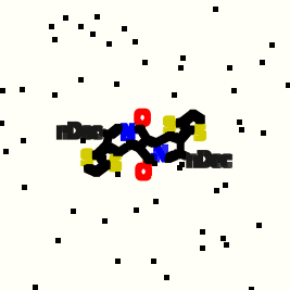 CCCCCCCCCCC1=CN2C(=O)C3=C4c5sc6ccsc6c5C(CCCCCCCCCC)=CN4C(=O)C3=C2c2sc3ccsc3c21